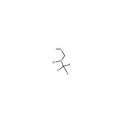 O=[C]C[S+]([O-])C(F)(F)F